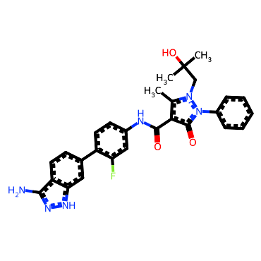 Cc1c(C(=O)Nc2ccc(-c3ccc4c(N)n[nH]c4c3)c(F)c2)c(=O)n(-c2ccccc2)n1CC(C)(C)O